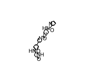 O=C1CCC(Nc2ccc(C3=CCN(CC(=O)N4CCC(NC(=O)c5ccccn5)CC4)C=C3)cc2)C(=O)N1